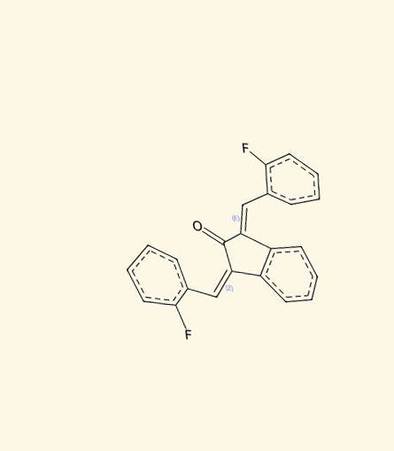 O=C1/C(=C\c2ccccc2F)c2ccccc2/C1=C\c1ccccc1F